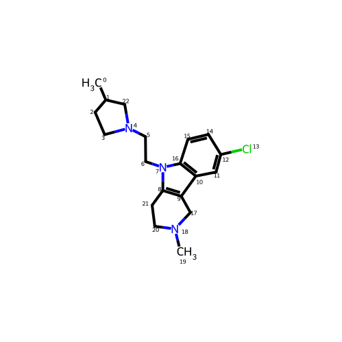 CC1CCN(CCn2c3c(c4cc(Cl)ccc42)CN(C)CC3)C1